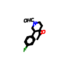 CC1OC12CCN(C=O)CC2c1ccc(F)cc1